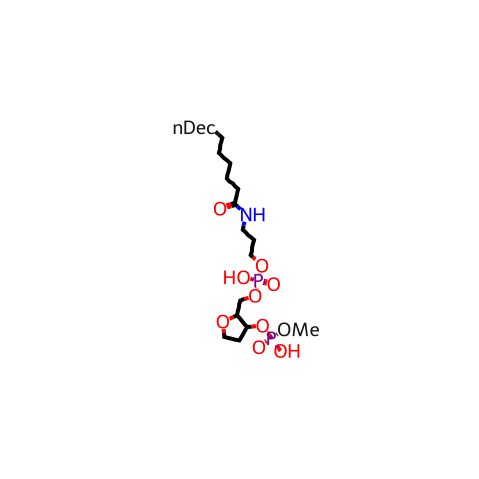 CCCCCCCCCCCCCCCC(=O)NCCCOP(=O)(O)OCC1OCCC1OP(=O)(O)OC